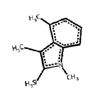 Cc1cccc2c1c(C)c([SiH3])n2C